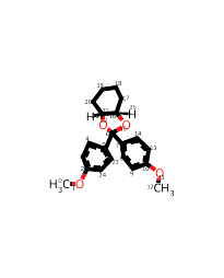 COc1ccc(C2(c3ccc(OC)cc3)O[C@H]3CCCC[C@H]3O2)cc1